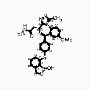 CCNC(=O)C[C@@H]1N=C(c2ccc(Sc3cccc4c3B(O)OC4)cc2)c2cc(OC)ccc2-n2c(C)nnc21